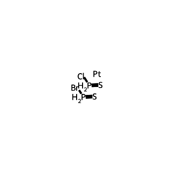 S=[PH2]Br.S=[PH2]Cl.[Pt]